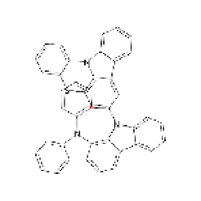 c1ccc(-n2c3ccccc3c3ccc4c5ccccc5n(-c5cc6c7c(c5)c5ccccc5n7-c5ccccc5S6)c4c32)cc1